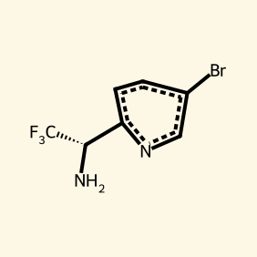 N[C@@H](c1ccc(Br)cn1)C(F)(F)F